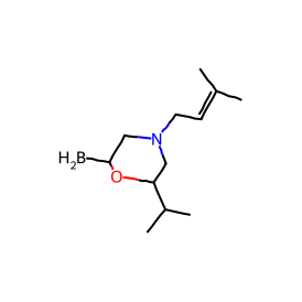 BC1CN(CC=C(C)C)CC(C(C)C)O1